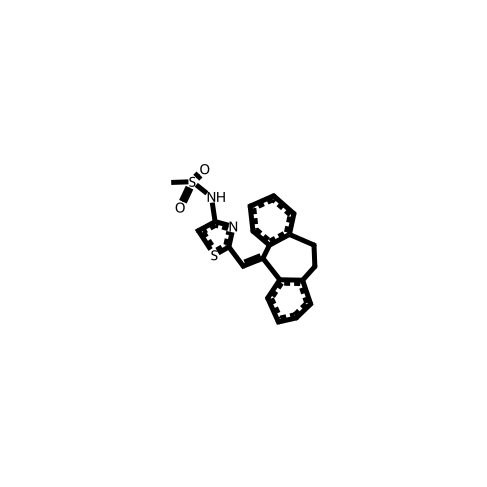 CS(=O)(=O)Nc1csc(C=C2c3ccccc3CCc3ccccc32)n1